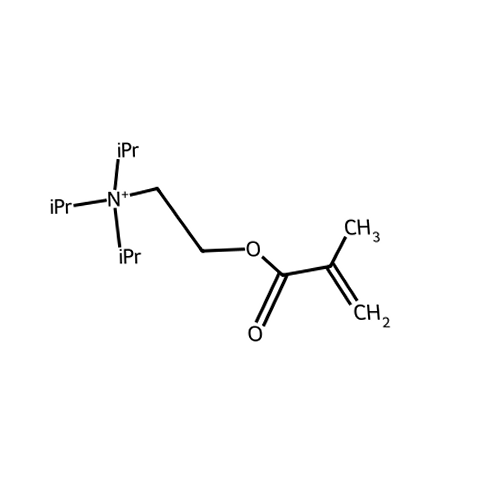 C=C(C)C(=O)OCC[N+](C(C)C)(C(C)C)C(C)C